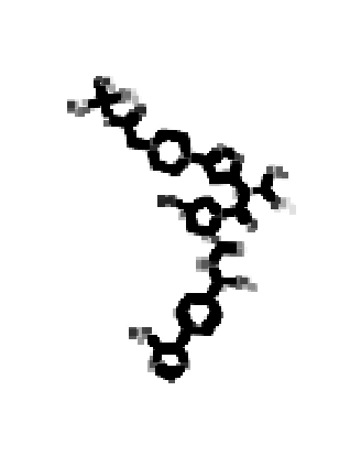 Cc1ncsc1-c1ccc([C@H](C)NC(=O)[C@@H]2C[C@@H](O)CN2C(=O)[C@@H](c2cc(N3CCN(CC(=O)OC(C)(C)C)CC3)no2)C(C)C)cc1